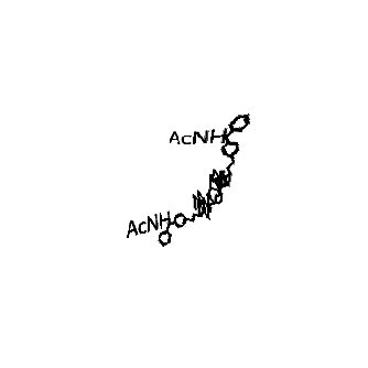 CC(=O)N[C@@H](c1ccccc1)c1ccc(CCCn2cc(COCc3cn(CCCc4ccc([C@@H](NC(C)=O)c5ccccc5)cc4)nn3)nn2)cc1